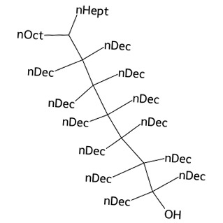 CCCCCCCCCCC(O)(CCCCCCCCCC)C(CCCCCCCCCC)(CCCCCCCCCC)C(CCCCCCCCCC)(CCCCCCCCCC)C(CCCCCCCCCC)(CCCCCCCCCC)C(CCCCCCCCCC)(CCCCCCCCCC)C(CCCCCCCCCC)(CCCCCCCCCC)C(CCCCCCC)CCCCCCCC